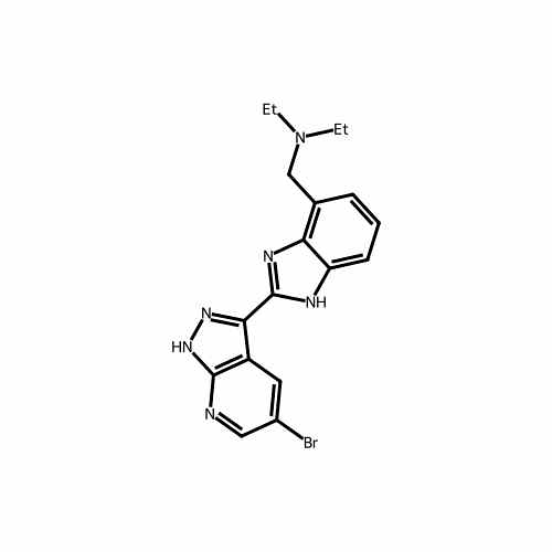 CCN(CC)Cc1cccc2[nH]c(-c3n[nH]c4ncc(Br)cc34)nc12